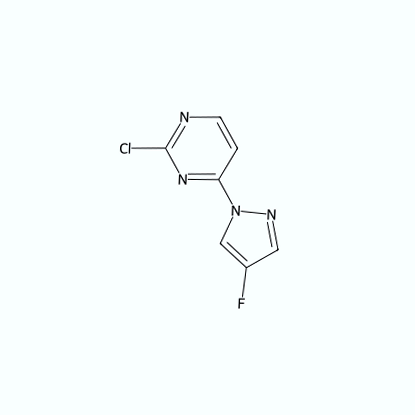 Fc1cnn(-c2ccnc(Cl)n2)c1